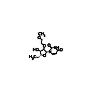 CC[C@H]1O[C@@H](n2ccc(=O)[nH]c2=O)[C@H](OCCOC)[C@@H]1O